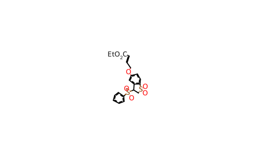 CCOC(=O)C=CCOc1ccc2c(c1)C(S(=O)(=O)c1ccccc1)CS2(=O)=O